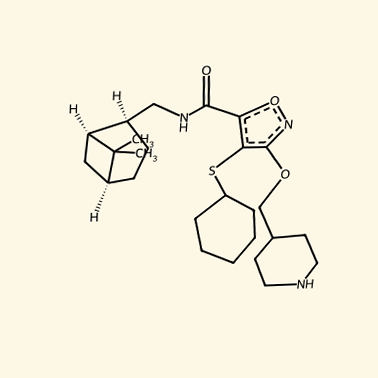 CC1(C)[C@H]2CC[C@H](CNC(=O)c3onc(OCC4CCNCC4)c3SC3CCCCC3)[C@@H]1C2